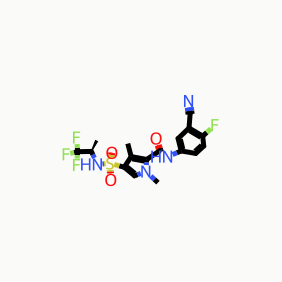 Cc1c(S(=O)(=O)N[C@H](C)C(F)(F)F)cn(C)c1C(=O)Nc1ccc(F)c(C#N)c1